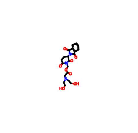 O=C(CN(CCO)CCO)OCN1C(=O)CCC(N2C(=O)c3ccccc3C2=O)C1=O